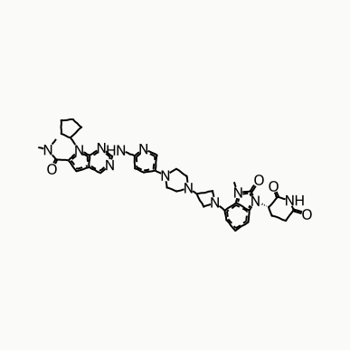 CN(C)C(=O)c1cc2cnc(Nc3ccc(N4CCN(C5CN(c6cccc7c6n(C)c(=O)n7[C@H]6CCC(=O)NC6=O)C5)CC4)cn3)nc2n1C1CCCC1